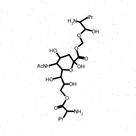 CC(=O)NC1C(O)CC(O)(C(=O)OCOC(O)C(N)C(C)C)OC1C(O)C(O)COC(=O)C(N)C(C)C